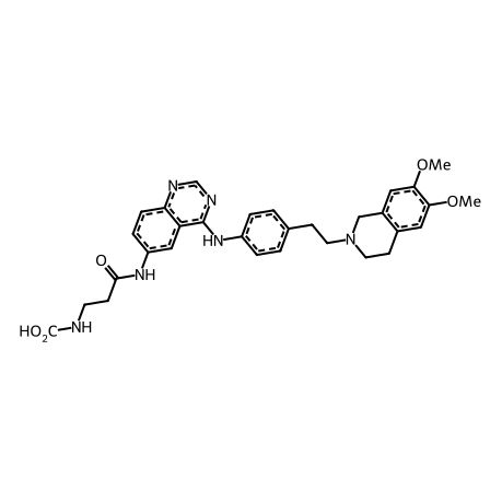 COc1cc2c(cc1OC)CN(CCc1ccc(Nc3ncnc4ccc(NC(=O)CCNC(=O)O)cc34)cc1)CC2